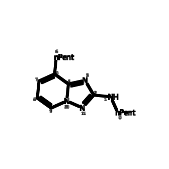 CCCCCNc1nc2c(CCCCC)cccn2n1